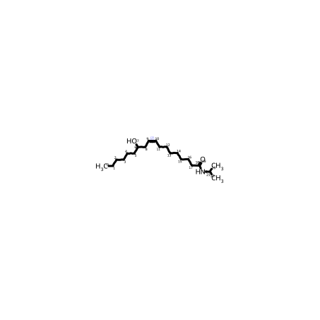 CCCCCCC(O)C/C=C\CCCCCCCC(=O)NC(C)C